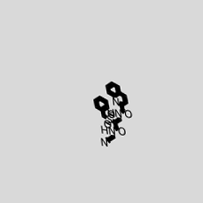 N#CCNC(=O)C(CNC(=O)c1ccc2ccccc2n1)S(=O)(=O)Cc1ccccc1